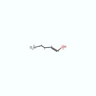 O=[N+]([O-])CCC=CO